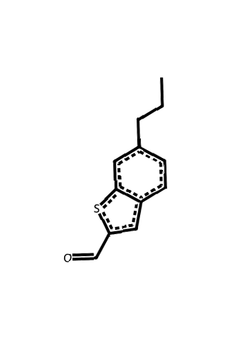 CCCc1ccc2cc(C=O)sc2c1